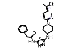 CC/C(C)=C/C=C\C(=N/C)N1CCC(Nc2nnc(NC(=O)Cc3ccccc3)s2)CC1